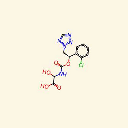 O=C(NC(O)C(=O)O)O[C@@H](Cn1ncnn1)c1ccccc1Cl